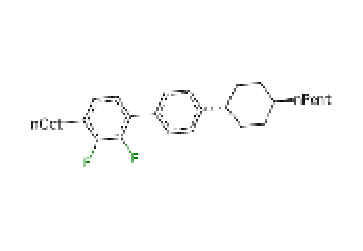 CCCCCCCCc1ccc(-c2ccc([C@H]3CC[C@H](CCCCC)CC3)cc2)c(F)c1F